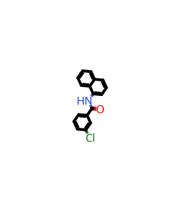 O=C(Nc1cccc2ccccc12)c1cccc(Cl)c1